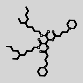 CCCCC(CC)CCCCOC(=O)C(OC(=O)CCCN1CCCCC1)C(OC(=O)CCCN1CCCCC1)C(=O)OCCCCC(CC)CCCC